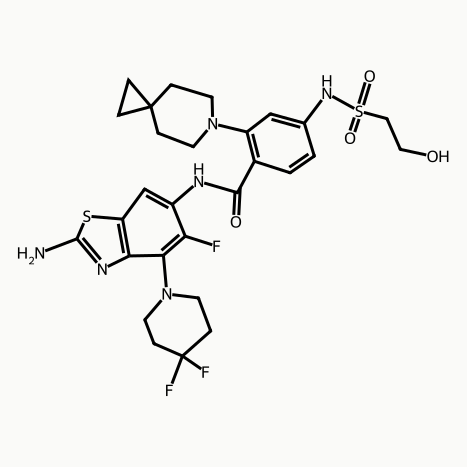 Nc1nc2c(N3CCC(F)(F)CC3)c(F)c(NC(=O)c3ccc(NS(=O)(=O)CCO)cc3N3CCC4(CC3)CC4)cc2s1